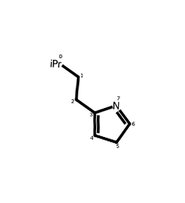 CC(C)CCC1=CCC=N1